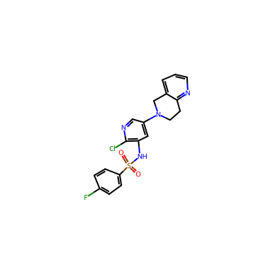 O=S(=O)(Nc1cc(N2CCc3ncccc3C2)cnc1Cl)c1ccc(F)cc1